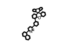 c1cc(-c2ccc(-c3cccc4ccccc34)nn2)cc(-c2cccc3c2Oc2ccccc2C32c3ccccc3-c3ccccc32)c1